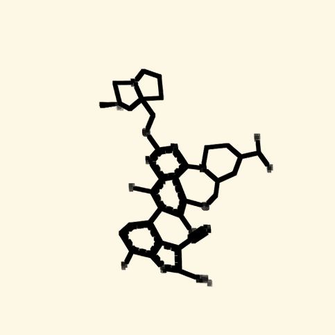 C[C@H]1CN2CCCC2(COc2nc3c4c(c(Cl)c(-c5ccc(F)c6sc(N)c(C#N)c56)c(F)c4n2)OCC2CC(C(F)F)CCN32)C1